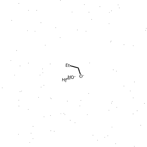 CCC[O-].[Hf+4].[OH-]